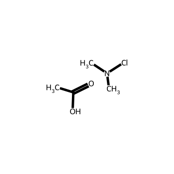 CC(=O)O.CN(C)Cl